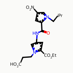 CCOC(=O)c1cc(NC(=O)c2cc([N+](=O)[O-])cn2CC(C)C)cn1CCC(=O)O